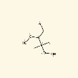 CC(C)CC(OO)C(C)(C)OO